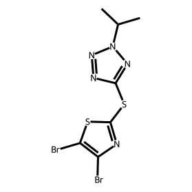 CC(C)n1nnc(Sc2nc(Br)c(Br)s2)n1